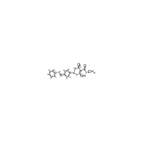 CCC(=O)C1=C(O)CC(c2ccc(OCc3ccccc3)cc2)CC1=O